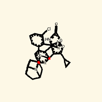 O=c1[nH]c(-c2ccc(N3C4CCC3CC(OCc3c(-c5c(Cl)cccc5Cl)noc3C3CC3)C4)nc2)no1